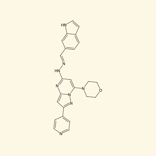 C(=NNc1cc(N2CCOCC2)n2nc(-c3ccncc3)cc2n1)c1ccc2cc[nH]c2c1